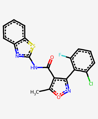 Cc1onc(-c2c(F)cccc2Cl)c1C(=O)Nc1nc2ccccc2s1